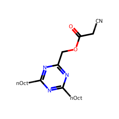 CCCCCCCCc1nc(CCCCCCCC)nc(COC(=O)CC#N)n1